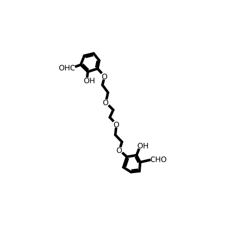 O=Cc1cccc(OCCOCCOCCOc2cccc(C=O)c2O)c1O